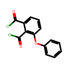 O=C(Cl)c1cccc(Oc2ccccc2)c1C(=O)Cl